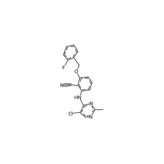 Cc1ncc(Cl)c(Nc2cccc(OCc3ccccc3F)c2C#N)n1